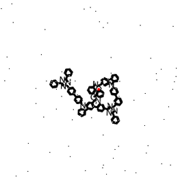 c1ccc(-c2nc(-c3ccccc3)nc(-c3ccc(-c4ccc(-n5c6ccccc6c6cc(-c7ccc(-c8nc(-c9ccccc9)nc(-c9cccc(-c%10ccc(-n%11c%12ccccc%12c%12ccc(-c%13nc%14ccccc%14o%13)cc%12%11)cc%10)c9)n8)cc7)c(-c7nc8ccccc8o7)cc65)cc4)cc3)n2)cc1